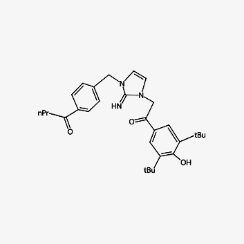 CCCC(=O)c1ccc(Cn2ccn(CC(=O)c3cc(C(C)(C)C)c(O)c(C(C)(C)C)c3)c2=N)cc1